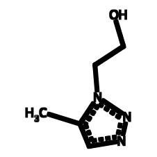 Cc1cnnn1CCO